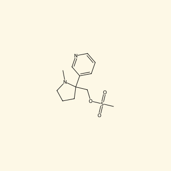 CN1CCCC1(COS(C)(=O)=O)c1cccnc1